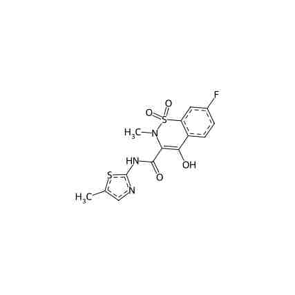 Cc1cnc(NC(=O)C2=C(O)c3ccc(F)cc3S(=O)(=O)N2C)s1